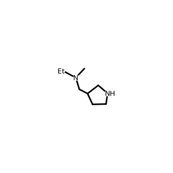 CCN(C)CC1CCNC1